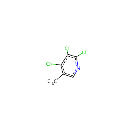 Clc1ncc(C(Cl)(Cl)Cl)c(Cl)c1Cl